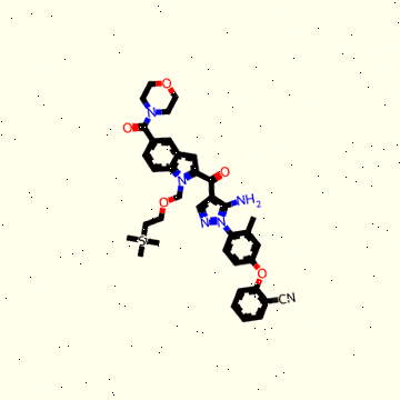 Cc1cc(Oc2ccccc2C#N)ccc1-n1ncc(C(=O)c2cc3cc(C(=O)N4CCOCC4)ccc3n2COCC[Si](C)(C)C)c1N